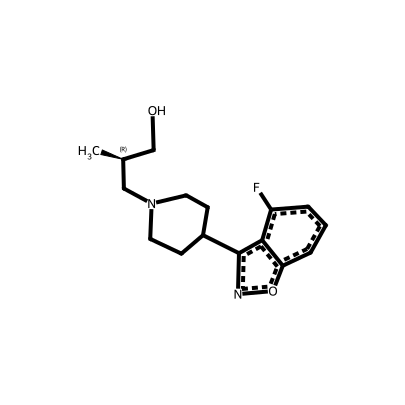 C[C@@H](CO)CN1CCC(c2noc3cccc(F)c23)CC1